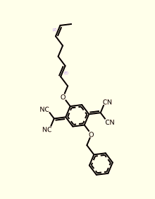 C/C=C\CC/C=C/COc1cc(=C(C#N)C#N)c(OCc2ccccc2)cc1=C(C#N)C#N